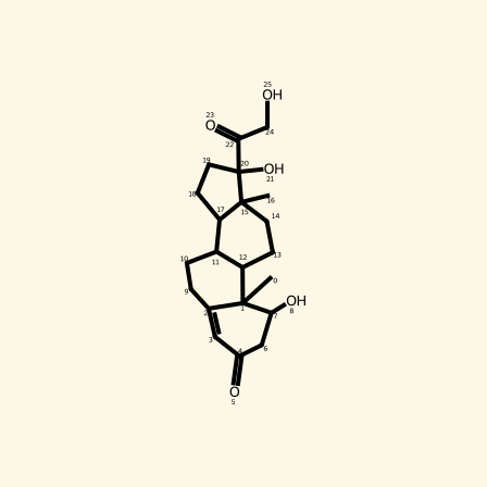 CC12C(=CC(=O)CC1O)CCC1C2CCC2(C)C1CCC2(O)C(=O)CO